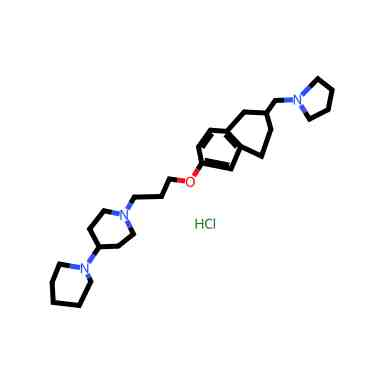 Cl.c1cc2c(cc1OCCCN1CCC(N3CCCCC3)CC1)CCC(CN1CCCC1)C2